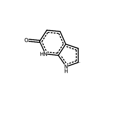 O=c1ccc2c[c][nH]c2[nH]1